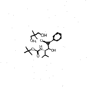 CC(C)(CO)CO.CC(C)[C@H](NC(=O)OC(C)(C)C)C(O)c1c(-c2ccccc2)c1=O